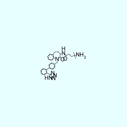 CC(C)(N)CCC(=O)NC1CCc2ccccc2N(Cc2ccc(-c3ccccc3-c3nnn[nH]3)cc2)C1=O